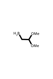 BCC(OC)OC